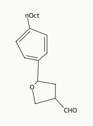 CCCCCCCCc1ccc(C2CC(C=O)CO2)cc1